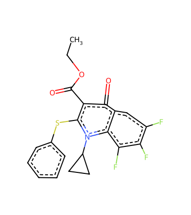 CCOC(=O)c1c(Sc2ccccc2)n(C2CC2)c2c(F)c(F)c(F)cc2c1=O